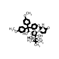 COc1ccc(C(c2ccccc2)(c2ccc(OC)cc2)C(O)[C@@H]2S[C@H](n3ccc(=O)[nH]c3=O)[C@@](O)([Si](C)(C)C(C)(C)C)[C@@H]2O)cc1